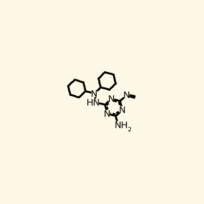 C=Nc1nc(N)nc(NN(C2CCCCC2)C2CCCCC2)n1